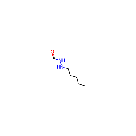 CCCCCNN[C]=O